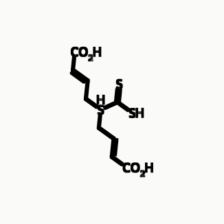 O=C(O)C=CC[SH](CC=CC(=O)O)C(=S)S